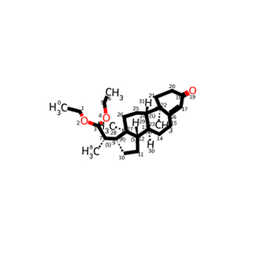 CCOC(OCC)[C@@H](C)[C@H]1CC[C@H]2[C@@H]3CCC4=CC(=O)CC[C@]4(C)[C@H]3CC[C@]12C